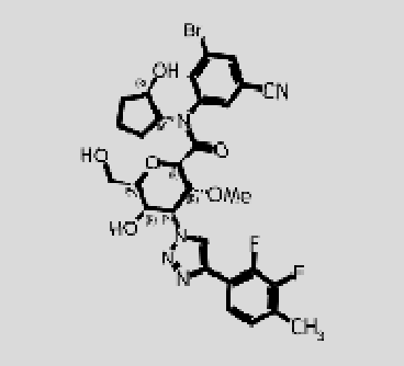 CO[C@@H]1[C@@H](n2cc(-c3ccc(C)c(F)c3F)nn2)[C@@H](O)[C@@H](CO)O[C@H]1C(=O)N(c1cc(Br)cc(C#N)c1)[C@@H]1CCC[C@H]1O